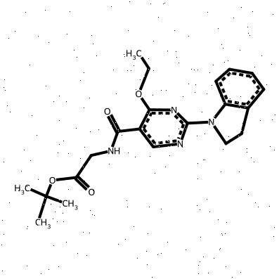 CCOc1nc(N2CCc3ccccc32)ncc1C(=O)NCC(=O)OC(C)(C)C